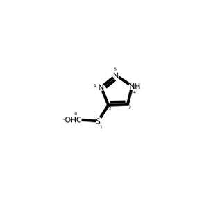 O=[C]Sc1c[nH]nn1